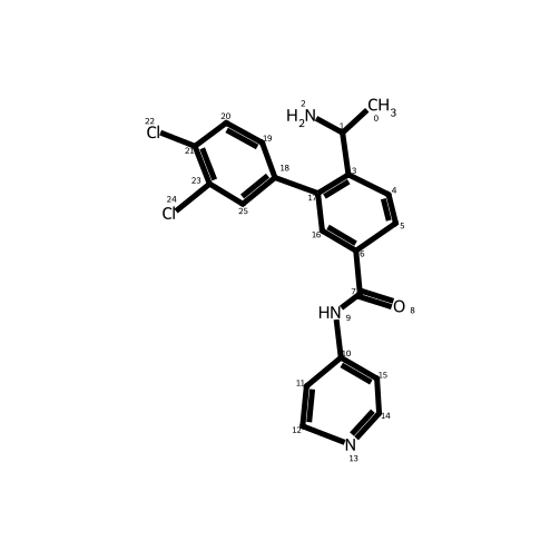 CC(N)c1ccc(C(=O)Nc2ccncc2)cc1-c1ccc(Cl)c(Cl)c1